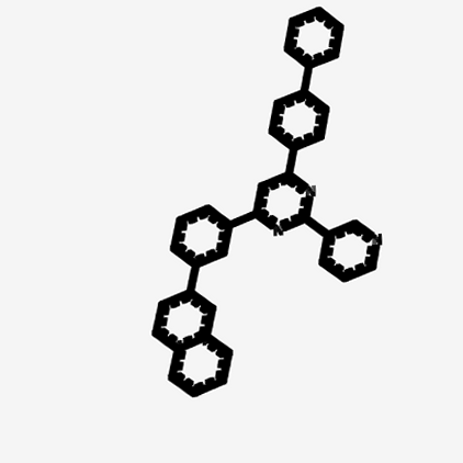 c1ccc(-c2ccc(-c3cc(-c4cccc(-c5ccc6ccccc6c5)c4)nc(-c4cccnc4)n3)cc2)cc1